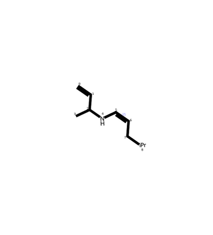 C=CC(C)N/C=C\CC(C)C